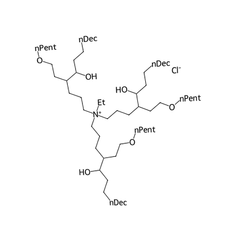 CCCCCCCCCCCCC(O)C(CCC[N+](CC)(CCCC(CCOCCCCC)C(O)CCCCCCCCCCCC)CCCC(CCOCCCCC)C(O)CCCCCCCCCCCC)CCOCCCCC.[Cl-]